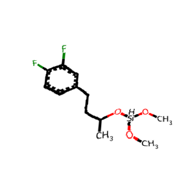 CO[SiH](OC)OC(C)CCc1ccc(F)c(F)c1